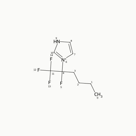 CCCCC(F)([n+]1cc[nH]c1)C(F)(F)F